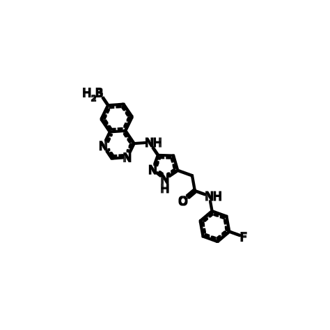 Bc1ccc2c(Nc3cc(CC(=O)Nc4cccc(F)c4)[nH]n3)ncnc2c1